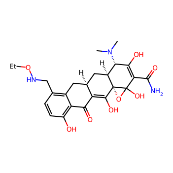 CCONCc1ccc(O)c2c1C[C@H]1C[C@H]3[C@H](N(C)C)C(O)=C(C(N)=O)C4(O)O[C@]34C(O)=C1C2=O